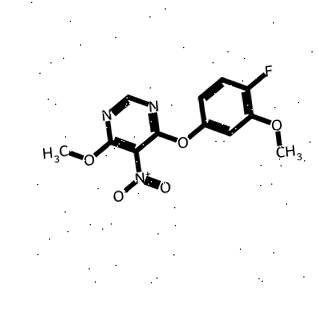 COc1cc(Oc2ncnc(OC)c2[N+](=O)[O-])ccc1F